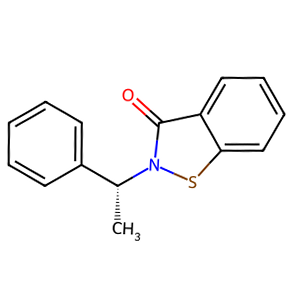 C[C@H](c1ccccc1)n1sc2ccccc2c1=O